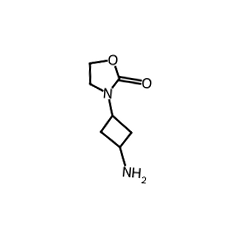 NC1CC(N2CCOC2=O)C1